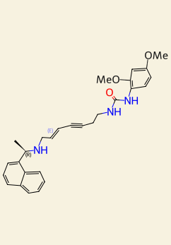 COc1ccc(NC(=O)NCCC#C/C=C/CN[C@H](C)c2cccc3ccccc23)c(OC)c1